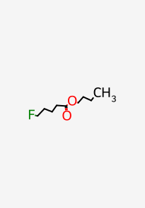 CCCCOC(=O)CCCCF